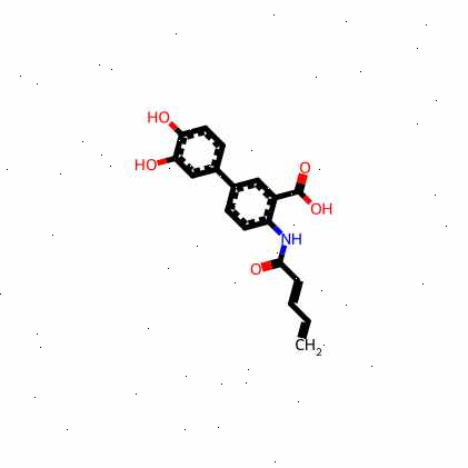 C=CC=CC(=O)Nc1ccc(-c2ccc(O)c(O)c2)cc1C(=O)O